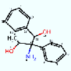 CC(O)C(N)(c1ccccc1)C(O)c1ccccc1